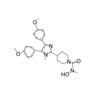 COc1ccc(-c2nc(C3CCN(C(=O)N(C)O)CC3)n(C)c2-c2ccc(OC)cc2)cc1